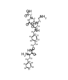 NCCN(CCN(CC(=O)O)CC(=O)O)CC(=O)NCc1ccc(CCONC(=O)[C@H](N)CCc2ccccc2)cc1